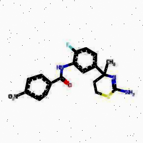 CC1(c2ccc(F)c(NC(=O)c3ccc([N+](=O)[O-])cc3)c2)CCSC(N)=N1